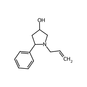 C=CCN1CC(O)CC1c1ccccc1